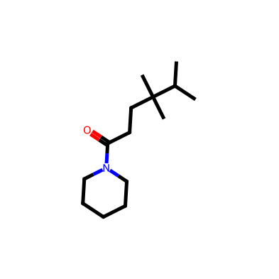 CC(C)C(C)(C)CCC(=O)N1CCCCC1